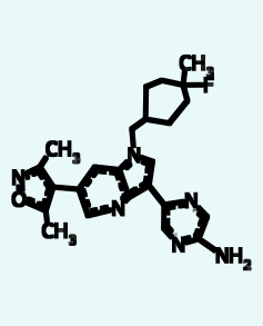 Cc1noc(C)c1-c1cnc2c(-c3cnc(N)cn3)cn(CC3CCC(C)(F)CC3)c2c1